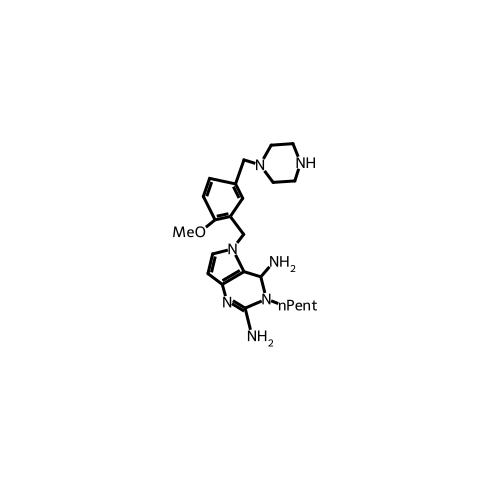 CCCCCN1C(N)=Nc2ccn(Cc3cc(CN4CCNCC4)ccc3OC)c2C1N